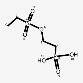 CCS(=O)(=O)OCCP(=O)(O)O